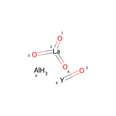 [AlH3].[O]=[La](=[O])=[O].[O]=[Y]